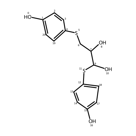 Oc1ccc(SCC(O)C(O)Sc2ccc(O)cc2)cc1